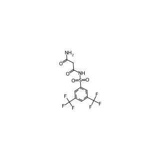 NC(=O)CC(=O)NS(=O)(=O)c1cc(C(F)(F)F)cc(C(F)(F)F)c1